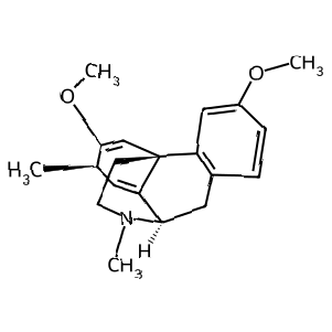 COC1=C[C@]23CCN(C)[C@H](Cc4ccc(OC)cc42)C3=C[C@H]1C